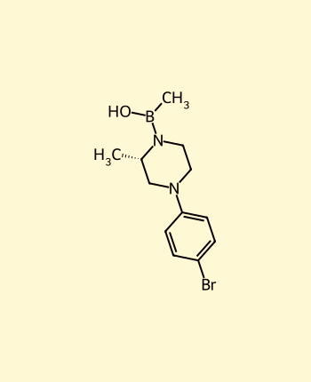 CB(O)N1CCN(c2ccc(Br)cc2)C[C@@H]1C